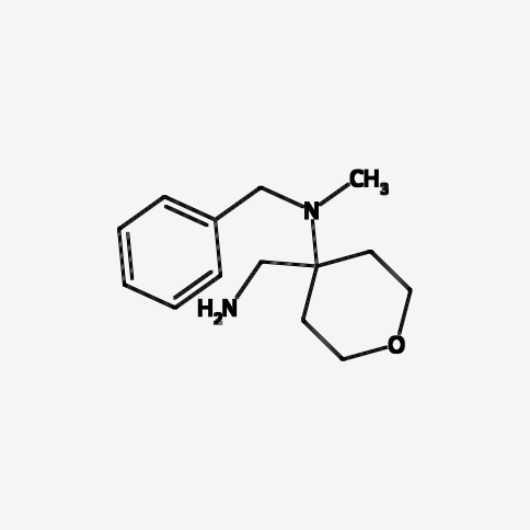 CN(Cc1ccccc1)C1(CN)CCOCC1